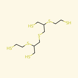 SCCSC(CS)CSCC(CS)SCCS